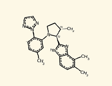 Cc1c[c]c(-n2nccn2)c(N2CC[C@H](C)[C@H]2c2nc3c(C)c(C)ccc3[nH]2)c1